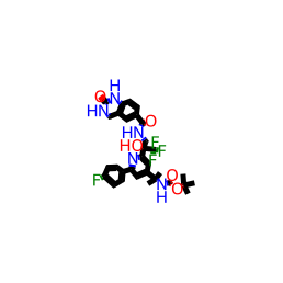 CC(C)(C)OC(=O)NC(C)(C)c1cc(-c2ccc(F)cc2)nc(C(O)(CNC(=O)c2ccc3c(c2)CNC(=O)N3)C(F)(F)F)c1